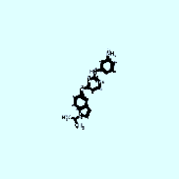 CC(C)n1ccc2cc(Oc3ccnc(Nc4cccc(N)c4)n3)ccc21